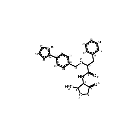 CC1OCC(=O)C1NC(=O)C(Cc1ccccc1)OCc1ccc(-c2cccs2)cc1